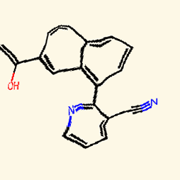 C=C(O)c1ccc2cccc(-c3ncccc3C#N)c2c1